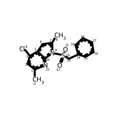 Cc1cc(Cl)c2cc(C)n(S(=O)(=O)Cc3ccccc3)c2n1